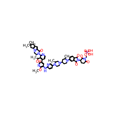 COc1ncc(-c2ccnc(N3CCn4c(cc5c4CC(C)(C)C5)C3=O)c2[C@@H](C)O)cc1Nc1ccc(N2CCN(C3CCN(c4ccc5c(c4)C(=O)N(C4CCC(=O)N(COP(=O)(O)O)C4=O)C5=O)[C@H](C)C3)C[C@@H]2C)cn1